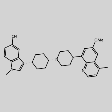 COc1cc(N2CCN([C@H]3CC[C@@H](c4cn(C)c5ccc(C#N)cc54)CC3)CC2)c2nccc(C)c2c1